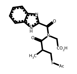 CC(=O)SCC(C)C(=O)N(CC(=O)O)C(=O)c1nc2ccccc2[nH]1